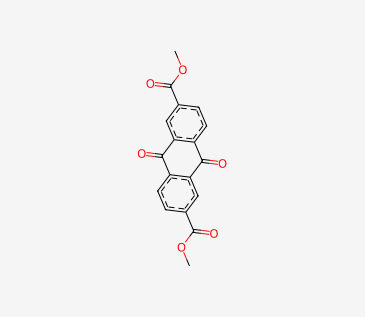 COC(=O)c1ccc2c(c1)C(=O)c1ccc(C(=O)OC)cc1C2=O